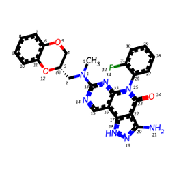 CN(C[C@H]1COc2ccccc2O1)c1ncc2c3[nH]nc(N)c3c(=O)n(-c3ccccc3F)c2n1